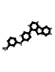 Nc1cccc(Oc2ccc(-c3cccc4c3Cc3ccccc3-4)cc2)c1